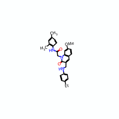 CCc1ccc(NCc2cc3ccc(OC)cc3n(CC(=O)Nc3ccc(C)cc3C)c2=O)cc1